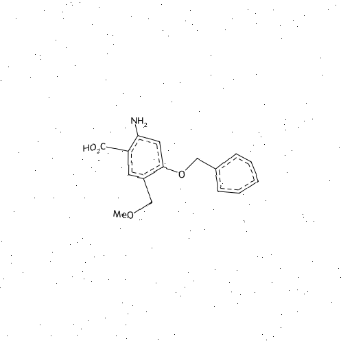 COCc1cc(C(=O)O)c(N)cc1OCc1ccccc1